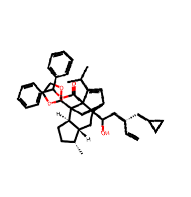 C=C[C@@H](CC1CC1)CC(O)C12C[C@@H]3[C@H](C)CC[C@H]3C3(C4OCCO4)CC1C=C(C(C)C)C23C(=O)OC(c1ccccc1)c1ccccc1